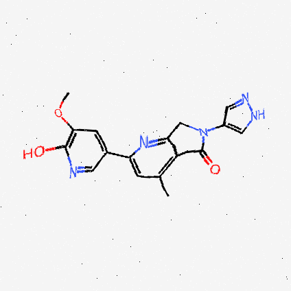 COc1cc(-c2cc(C)c3c(n2)CN(c2cn[nH]c2)C3=O)cnc1O